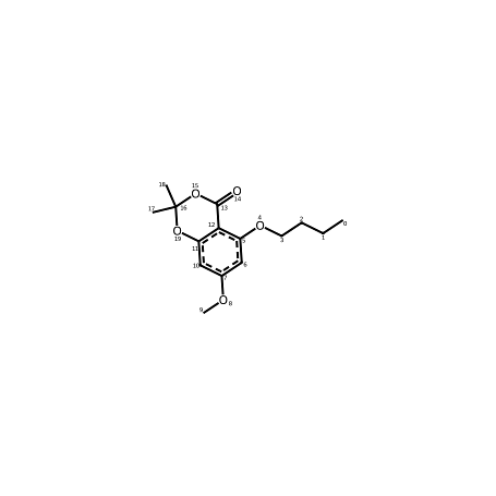 CCCCOc1cc(OC)cc2c1C(=O)OC(C)(C)O2